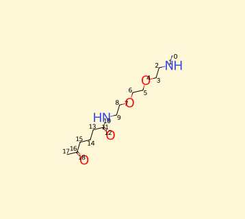 CNCCOCCOCCNC(=O)CCCC(C)=O